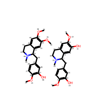 COc1ccc(CC2c3cc(O)c(OC)cc3CCN2C)cc1O.COc1ccc(CC2c3cc(OC)c(OC)cc3CCN2C)cc1O